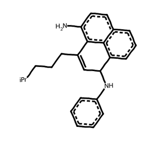 CC(C)CCCC1=CC(Nc2ccccc2)c2cccc3ccc(N)c1c23